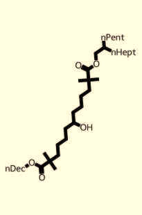 CCCCCCCCCCOC(=O)C(C)(C)CCCCC(O)CCCCC(C)(C)C(=O)OCC(CCCCC)CCCCCCC